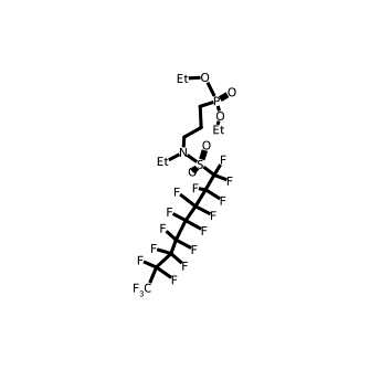 CCOP(=O)(CCCN(CC)S(=O)(=O)C(F)(F)C(F)(F)C(F)(F)C(F)(F)C(F)(F)C(F)(F)C(F)(F)C(F)(F)F)OCC